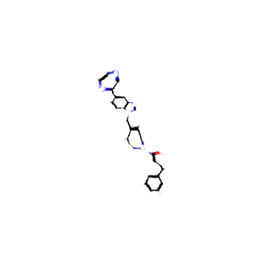 O=C(CCc1ccccc1)N1CCC(Cn2cnc3cc(-c4cnccn4)ccc32)CC1